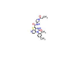 C=CC(=O)N1CC[C@@H](NC(=O)c2sc3nccc4c3c2NC(=O)N4c2ccc(C)cc2C)C1